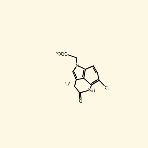 O=C([O-])Cn1cc2c3c(c(Cl)ccc31)NC(=O)C2.[Li+]